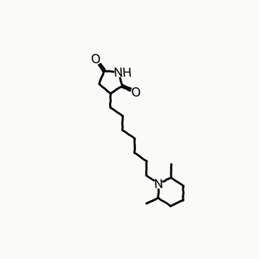 CC1CCCC(C)N1CCCCCCCC1CC(=O)NC1=O